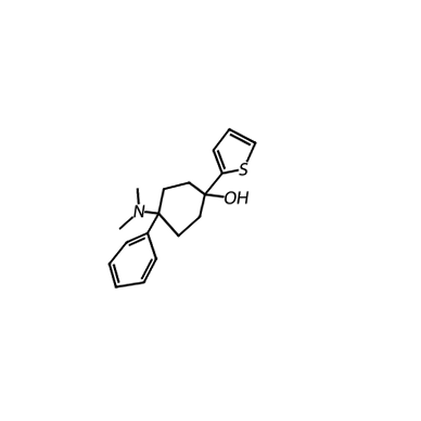 CN(C)C1(c2ccccc2)CCC(O)(c2cccs2)CC1